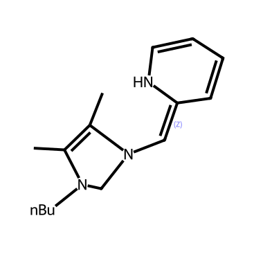 CCCCN1CN(/C=C2/C=CC=CN2)C(C)=C1C